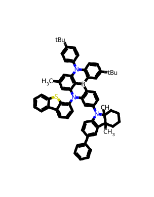 Cc1cc2c3c(c1)N(c1cccc4c1sc1ccccc14)c1cc(N4c5ccc(-c6ccccc6)cc5C5(C)CCCCC45C)ccc1B3c1cc(C(C)(C)C)ccc1N2c1ccc(C(C)(C)C)cc1